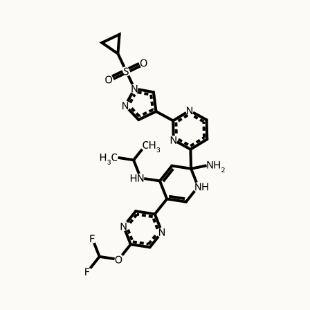 CC(C)NC1=CC(N)(c2ccnc(-c3cnn(S(=O)(=O)C4CC4)c3)n2)NC=C1c1cnc(OC(F)F)cn1